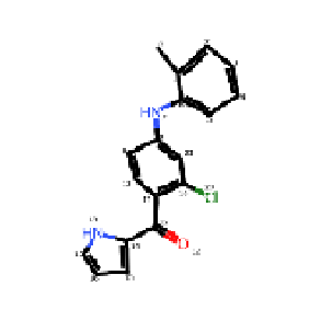 Cc1ccccc1Nc1ccc(C(=O)c2ccc[nH]2)c(Cl)c1